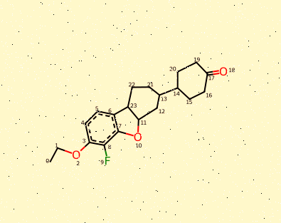 CCOc1ccc2c(c1F)OC1CC(C3CCC(=O)CC3)CCC21